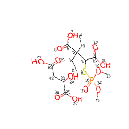 CCC(CC)(C(=O)O)C(SP(=O)(OC)OC)C(=O)O.O=C(O)CC(O)C(=O)O